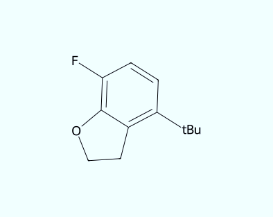 CC(C)(C)c1ccc(F)c2c1CCO2